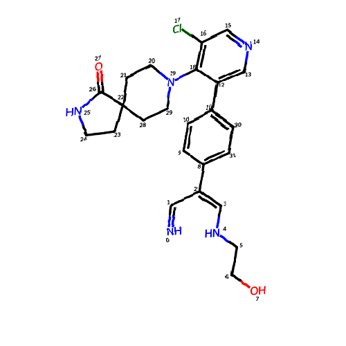 N=C/C(=C\NCCO)c1ccc(-c2cncc(Cl)c2N2CCC3(CCNC3=O)CC2)cc1